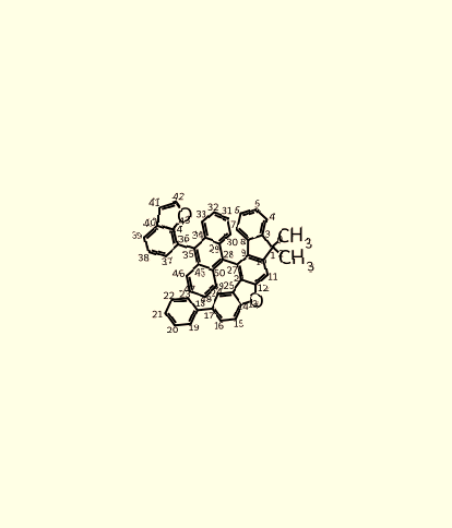 CC1(C)c2ccccc2-c2c1cc1oc3ccc(-c4ccccc4)cc3c1c2-c1c2ccccc2c(-c2cccc3ccoc23)c2ccccc12